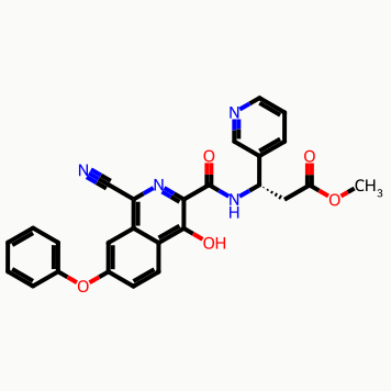 COC(=O)C[C@H](NC(=O)c1nc(C#N)c2cc(Oc3ccccc3)ccc2c1O)c1cccnc1